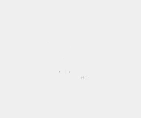 O=CCC1(C=O)CC2CCC1C2